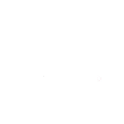 CC(C)C1=CC(C=O)CCC1(C)C